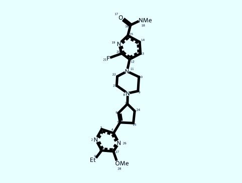 CCc1ncc(C2=CC(N3CCN(c4ccc(C(=O)NC)nc4F)CC3)CC2)nc1OC